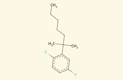 CCCCCC(C)(C)c1cc(F)ccc1F